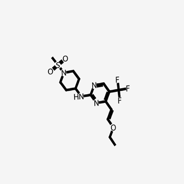 CCOC=Cc1nc(NC2CCN(S(C)(=O)=O)CC2)ncc1C(F)(F)F